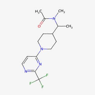 CC(=O)N(C)C(C)C1CCN(c2ccnc(C(F)(F)F)n2)CC1